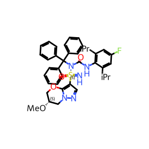 CO[C@@H]1COc2c([S@](=N)(=O)N(C(=O)Nc3c(C(C)C)cc(F)cc3C(C)C)C(c3ccccc3)(c3ccccc3)c3ccccc3)cnn2C1